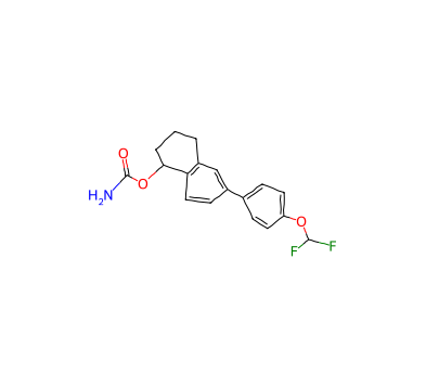 NC(=O)OC1CCCc2cc(-c3ccc(OC(F)F)cc3)ccc21